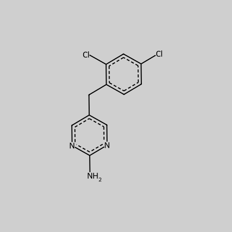 Nc1ncc(Cc2ccc(Cl)cc2Cl)cn1